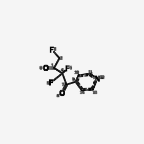 O=C(CF)C(F)(F)C(=O)c1ccncc1